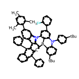 Cc1cc(C)c(-c2ccc3c4c5c(-c6ccccc6)c6ccccc6c(-c6ccccc6)c5cc5c4n(c3c2)-c2cc(-c3ccccc3F)cc3c2B5c2cc(C(C)(C)C)ccc2N3c2ccc(C(C)(C)C)cc2)c(C)c1